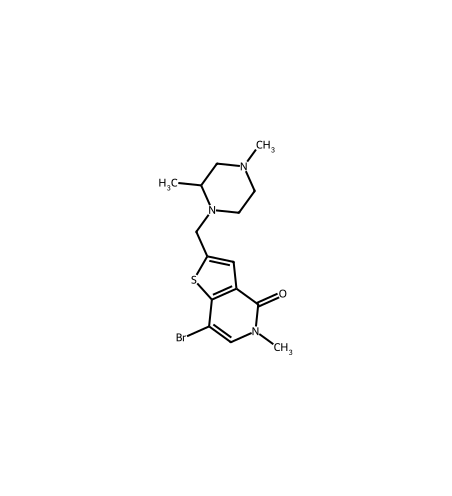 CC1CN(C)CCN1Cc1cc2c(=O)n(C)cc(Br)c2s1